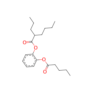 CCCCC(=O)Oc1ccccc1OC(=O)C(CCC)CCCC